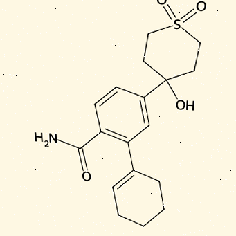 NC(=O)c1ccc(C2(O)CCS(=O)(=O)CC2)cc1C1=CCCCC1